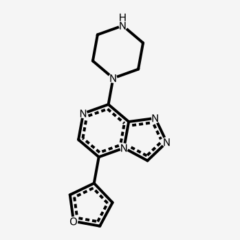 c1cc(-c2cnc(N3CCNCC3)c3nncn23)co1